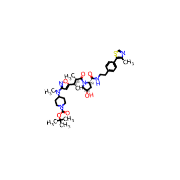 Cc1ncsc1-c1ccc(CCNC(=O)[C@@H]2C[C@@H](O)CN2C(=O)[C@@H](C)[C@H](C)c2cc(N(C)C3CCN(C(=O)OC(C)(C)C)CC3)no2)cc1